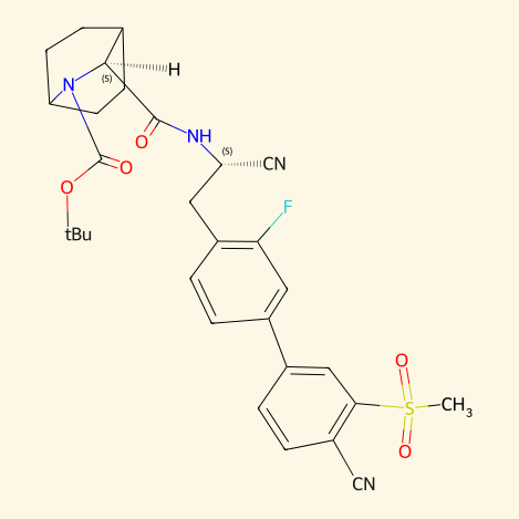 CC(C)(C)OC(=O)N1C2CCC(CC2)[C@H]1C(=O)N[C@H](C#N)Cc1ccc(-c2ccc(C#N)c(S(C)(=O)=O)c2)cc1F